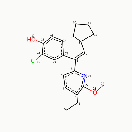 CCc1ccc(C(=CC2CCCC2)c2ccc(O)c(Cl)c2)nc1OC